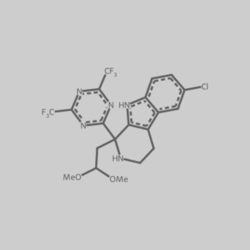 COC(CC1(c2nc(C(F)(F)F)nc(C(F)(F)F)n2)NCCc2c1[nH]c1ccc(Cl)cc21)OC